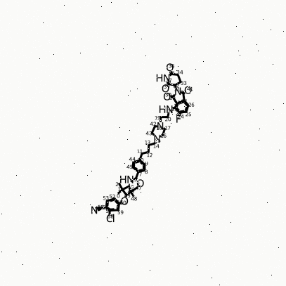 CC1(C)[C@H](NC(=O)c2ccc(CCCCN3CCN(CCNc4c(F)ccc5c4C(=O)N(C4CCC(=O)NC4=O)C5=O)CC3)cc2)C(C)(C)[C@H]1Oc1ccc(C#N)c(Cl)c1